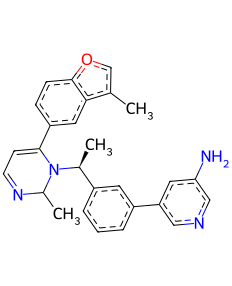 Cc1coc2ccc(C3=CC=NC(C)N3[C@@H](C)c3cccc(-c4cncc(N)c4)c3)cc12